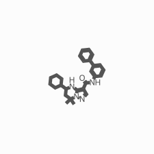 CC1(C)CC(C2CCCCC2)Nc2c(C(=O)Nc3cccc(-c4ccccc4)c3)cnn21